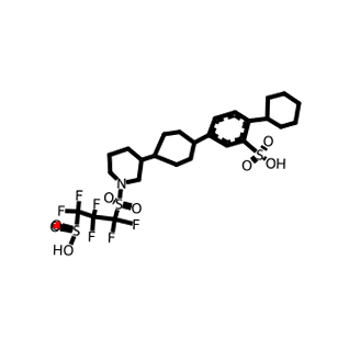 O=S(=O)(O)c1cc(C2CCC(C3CCCN(S(=O)(=O)C(F)(F)C(F)(F)C(F)(F)S(=O)(=O)O)C3)CC2)ccc1C1CCCCC1